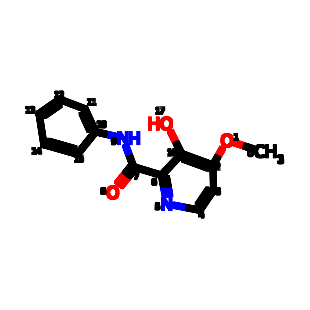 COc1ccnc(C(=O)Nc2ccccc2)c1O